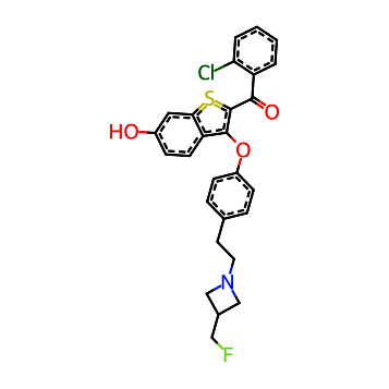 O=C(c1ccccc1Cl)c1sc2cc(O)ccc2c1Oc1ccc(CCN2CC(CF)C2)cc1